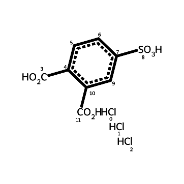 Cl.Cl.Cl.O=C(O)c1ccc(S(=O)(=O)O)cc1C(=O)O